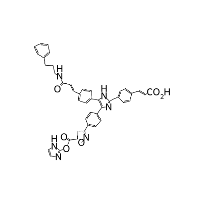 O=C(O)C=Cc1ccc(-c2nc(-c3ccc(C4=NOC(C(=O)Oc5ncc[nH]5)C4)cc3)c(-c3ccc(C=CC(=O)NCCCc4ccccc4)cc3)[nH]2)cc1